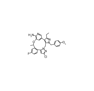 CCc1nn(Cc2ccc(OC)cc2)c2c1-c1cnc(N)c(c1)OC(C)c1cc(F)ccc1-c1cc(Cl)nn1C2